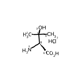 CC(C)(O)[C@H](N)C(=O)O.Cl